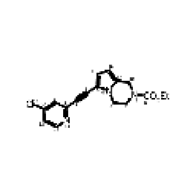 CCOC(=O)N1CCn2c(C#Cc3cc(Cl)ccn3)ccc2C1